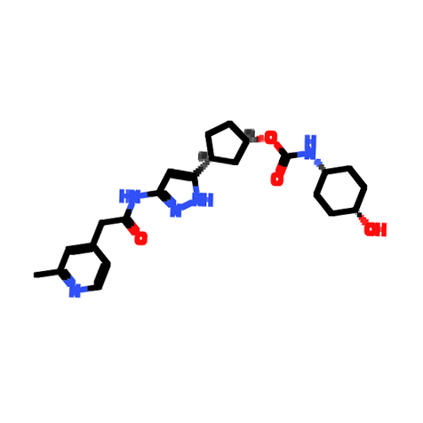 Cc1cc(CC(=O)Nc2cc([C@@H]3CC[C@H](OC(=O)N[C@H]4CC[C@@H](O)CC4)C3)[nH]n2)ccn1